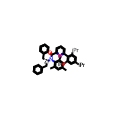 Cc1cc(C)c([N](C(=O)c2cccc(-c3c(C(C)C)cc(C(C)C)cc3C(C)C)n2)[Zr]([CH2]c2ccccc2)[CH2]c2ccccc2)c(C)c1